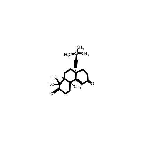 CC1(C)C(=O)CC[C@]2(C)C3=CC(=O)CC[C@]3(C#C[Si](C)(C)C)CC[C@@H]12